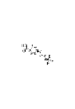 O=C(O)C1CCN(CCCCC(F)(F)F)CC1